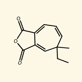 CCC1(C)C=CC=C2C(=O)OC(=O)C2=C1